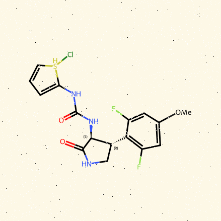 COc1cc(F)c([C@@H]2CNC(=O)[C@H]2NC(=O)NC2=CC=C[SH]2Cl)c(F)c1